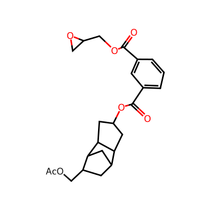 CC(=O)OCC1CC2CC1C1CC(OC(=O)c3cccc(C(=O)OCC4CO4)c3)CC21